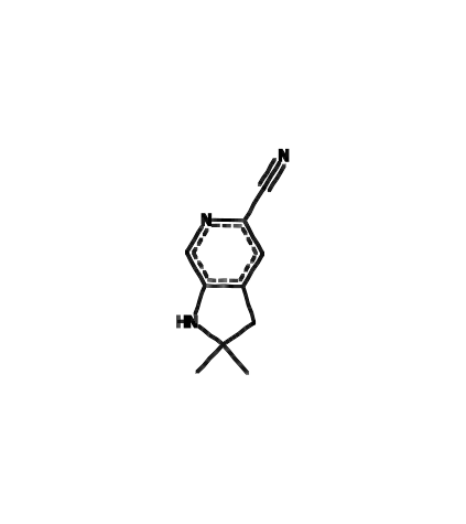 CC1(C)Cc2cc(C#N)ncc2N1